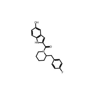 O=C(c1cc2cc(O)ccc2[nH]1)N1CCCCC1Cc1ccc(F)cc1